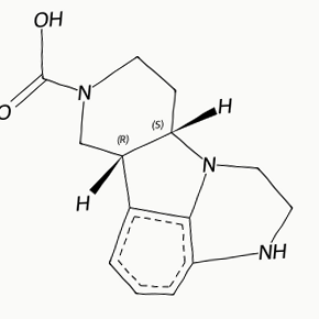 O=C(O)N1CC[C@H]2[C@@H](C1)c1cccc3c1N2CCN3